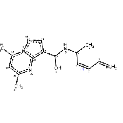 C=C/C=C\C(C)NC(O)c1cnn2c(C)cc(C)nc12